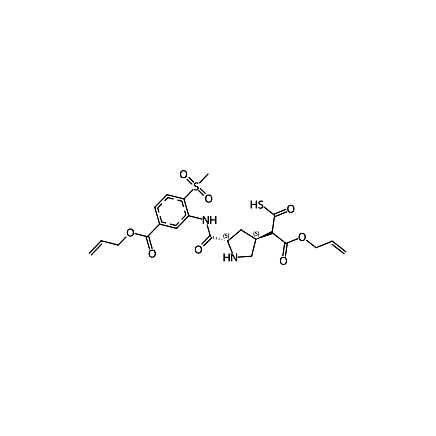 C=CCOC(=O)c1ccc(S(C)(=O)=O)c(NC(=O)[C@@H]2C[C@@H](C(C(=O)S)C(=O)OCC=C)CN2)c1